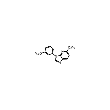 COc1cccc(-n2[c]nc3ccc(OC)nc32)c1